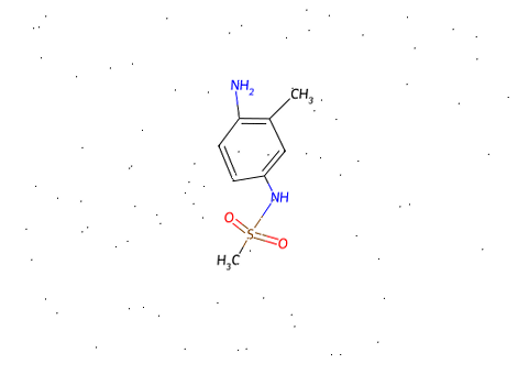 Cc1cc(NS(C)(=O)=O)ccc1N